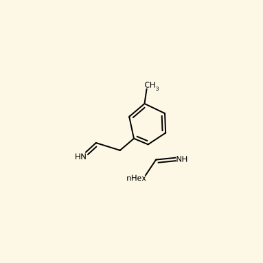 CCCCCCC=N.Cc1cccc(CC=N)c1